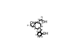 C[C@H](O)CN1CCN(Cc2ccncc2O)CCN(C[C@H](C)O)CC1